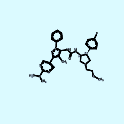 COCCN1C[C@@H](NC(=O)Nc2c(C)c(-c3cnc(N(C)C)nc3)nn2-c2ccccc2)[C@H](c2ccc(F)cc2)C1